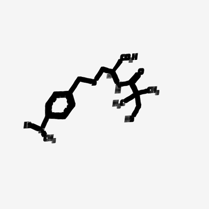 CCN(C)c1ccc(CSC[C@H](NC(=O)C(C)(C)CS)C(=O)O)cc1